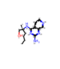 CCCC[C@](C)(CO)Nc1nc(N)nc2cnccc12